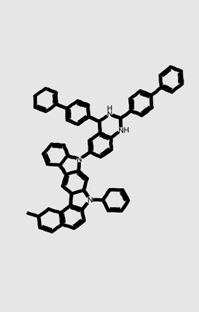 CC1C=Cc2ccc3c(c2C1)C1C=C2C(=CC1N3C1C=CC=CC1)N(c1ccc3c(c1)C(c1ccc(C4=CCCC=C4)cc1)NC(c1ccc(-c4ccccc4)cc1)N3)C1C=CC=CC21